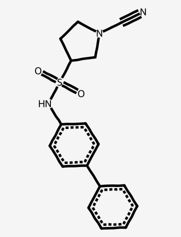 N#CN1CCC(S(=O)(=O)Nc2ccc(-c3ccccc3)cc2)C1